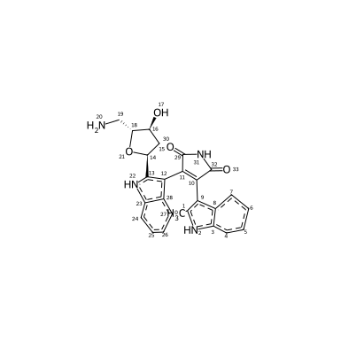 Cc1[nH]c2ccccc2c1C1=C(c2c([C@@H]3C[C@H](O)[C@@H](CN)O3)[nH]c3ccccc23)C(=O)NC1=O